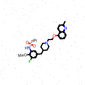 CCCS(=O)(=O)Nc1cc(CC2CCN(CCOc3cccc4nc(C)ccc34)CC2)cc(F)c1OC